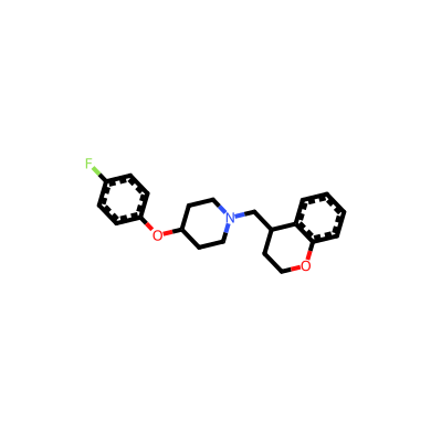 Fc1ccc(OC2CCN(CC3CCOc4ccccc43)CC2)cc1